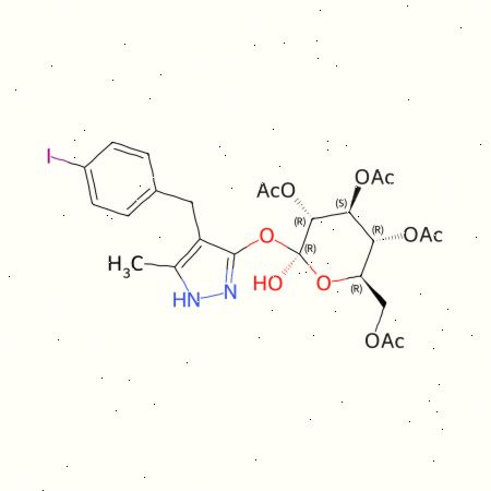 CC(=O)OC[C@H]1O[C@@](O)(Oc2n[nH]c(C)c2Cc2ccc(I)cc2)[C@H](OC(C)=O)[C@@H](OC(C)=O)[C@@H]1OC(C)=O